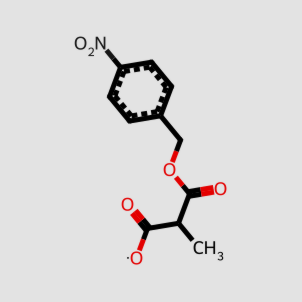 CC(C([O])=O)C(=O)OCc1ccc([N+](=O)[O-])cc1